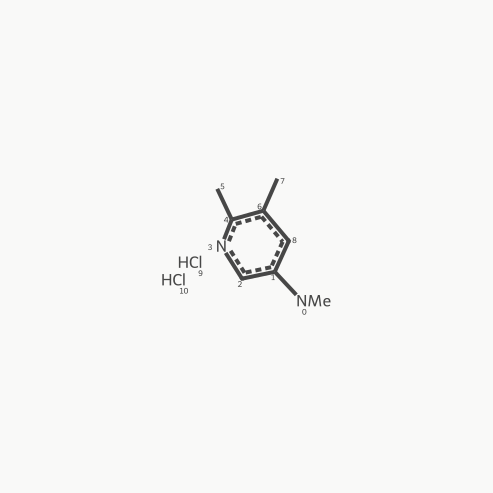 CNc1cnc(C)c(C)c1.Cl.Cl